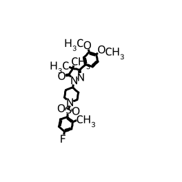 COc1ccc(C2=NN(C3CCN(S(=O)(=O)c4ccc(F)cc4C)CC3)C(=O)C2(C)C)cc1OC